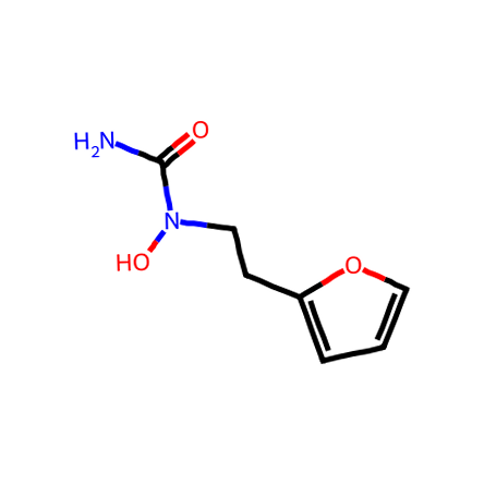 NC(=O)N(O)CCc1ccco1